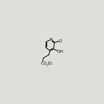 CCOC(=O)CCc1ccnc(Cl)c1O